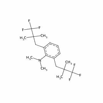 CN(C)c1c(CC(C)(C)C(F)(F)F)cccc1CC(C)(C)C(F)(F)F